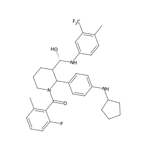 Cc1ccc(N[C@@H](O)C2CCCN(C(=O)c3c(C)cccc3F)C2c2ccc(NC3CCCC3)cc2)cc1C(F)(F)F